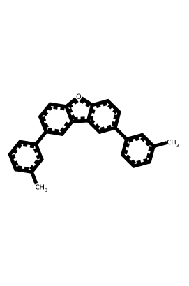 Cc1cccc(-c2ccc3oc4ccc(-c5cccc(C)c5)cc4c3c2)c1